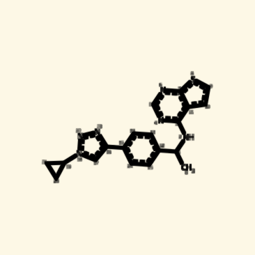 CC(Nc1ncnc2sccc12)c1ccc(-c2cn(C3CC3)nn2)cc1